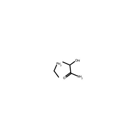 CC(O)C(N)=O.CCP